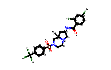 O=C(N[C@H]1C[C@H]2CN(S(=O)(=O)c3ccc(C(F)(F)F)cc3)CCN2C1)c1ccc(F)cc1F